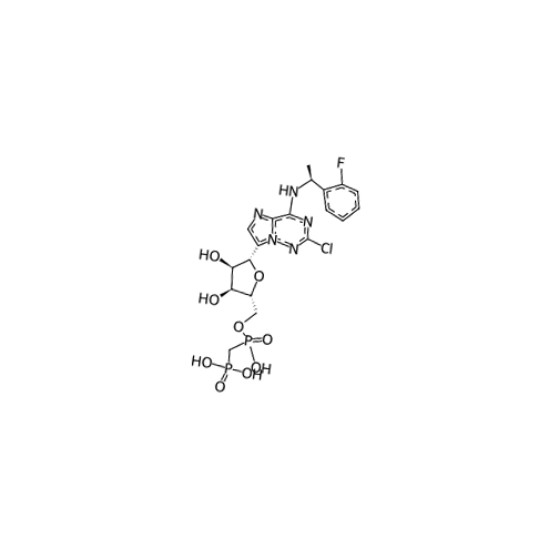 C[C@H](Nc1nc(Cl)nn2c([C@@H]3O[C@H](COP(=O)(O)CP(=O)(O)O)[C@@H](O)[C@H]3O)cnc12)c1ccccc1F